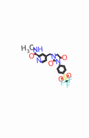 CNC(=O)c1cc(CN2CC(=O)N(c3ccc(S(=O)(=O)C(F)(F)F)cc3)C2=O)ccn1